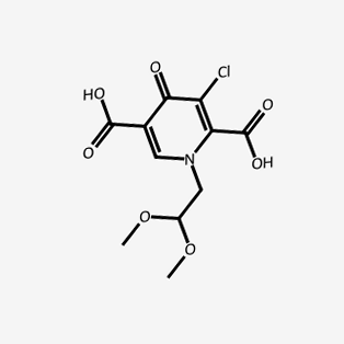 COC(Cn1cc(C(=O)O)c(=O)c(Cl)c1C(=O)O)OC